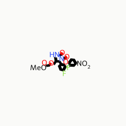 COC(=O)COCC1=CNC(=O)N(C(=O)Oc2ccc([N+](=O)[O-])cc2)C1c1ccc(F)c(F)c1